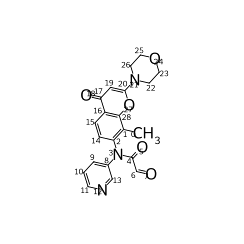 Cc1c(N(C(=O)C=O)c2cccnc2)ccc2c(=O)cc(N3CCOCC3)oc12